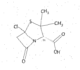 CC1(C)SC2(Cl)CC(=O)N2[C@H]1C(=O)O